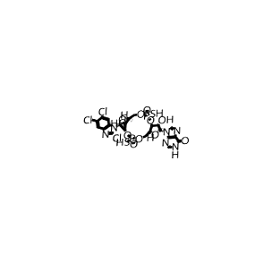 O=c1[nH]cnc2c1ncn2[C@@H]1O[C@@H]2COP(=O)(S)OC3C(O)[C@@H](COP(=O)(S)OC2C1O)O[C@H]3n1c(Cl)nc2cc(Cl)c(Cl)cc21